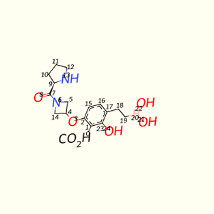 O=C(O)c1c(OC2CN(C(=O)[C@H]3CCCN3)C2)ccc(CCB(O)O)c1O